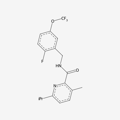 Cc1ccc(C(C)C)nc1C(=O)NCc1cc(OC(F)(F)F)ccc1F